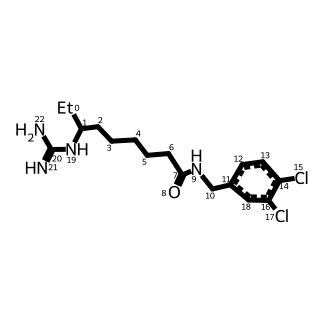 CCC(CCCCCC(=O)NCc1ccc(Cl)c(Cl)c1)NC(=N)N